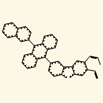 C=Cc1cc2oc3ccc(-c4c5ccccc5c(-c5ccc6ccccc6c5)c5ccccc45)cc3c2cc1/C=C\C